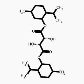 CC1CCC(C(C)C)C(OC(=O)[C@H](O)[C@@H](O)C(=O)OC2CC(C)CCC2C(C)C)C1